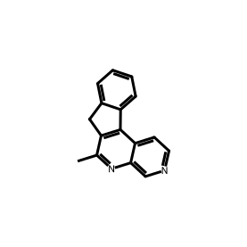 Cc1nc2cnccc2c2c1Cc1ccccc1-2